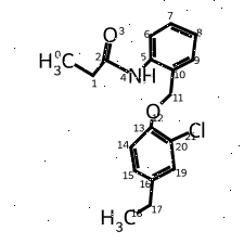 CCC(=O)Nc1ccccc1COc1ccc(CC)cc1Cl